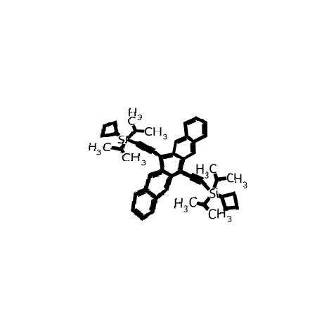 CC(C)[Si](C#Cc1c2cc3ccccc3cc2c(C#C[Si](C(C)C)(C(C)C)C2CCC2)c2cc3ccccc3cc12)(C(C)C)C1CCC1